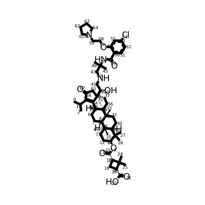 CC(C)C1=C2[C@H]3CC[C@@H]4[C@@]5(C)CC[C@H](OC(=O)[C@H]6C[C@@H](C(=O)O)C6(C)C)C(C)(C)[C@@H]5CC[C@@]4(C)[C@]3(C)CC[C@@]2([C@@H](O)CNCC(C)(C)NC(=O)c2ccc(Cl)cc2OCCN2CCCC2)CC1=O